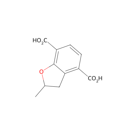 CC1Cc2c(C(=O)O)ccc(C(=O)O)c2O1